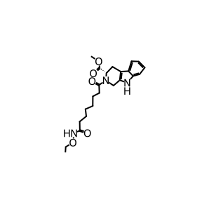 CCONC(=O)CCCCCCC(=O)N1Cc2[nH]c3ccccc3c2C[C@H]1C(=O)OC